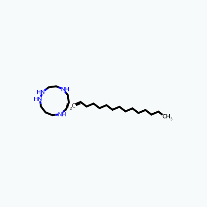 C1CNCCCNNCCNC1.C=CCCCCCCCCCCCCC